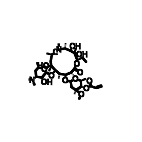 C=CC(=O)O[C@H]1[C@H](C)OC(O[C@H]2[C@H](C)[C@@H](OC3O[C@H](C)C[C@H](N(C)C)[C@@H]3O)[C@](C)(O)C[C@@H](C)CN(C)[C@H](C)[C@@H](O)[C@](C)(O)[C@@H](CC)OC(=O)[C@@H]2C)C[C@]1(C)OC